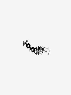 Cc1cnc(-c2ccc(C(F)(F)F)cc2)cc1CNC(=O)OC(C)(C)C